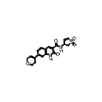 O=C(NC1C=CS(=O)(=O)C1)c1cc2ccc(C3=CCOCC3)cc2[nH]c1=O